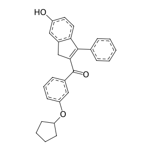 O=C(C1=C(c2ccccc2)c2ccc(O)cc2C1)c1cccc(OC2CCCC2)c1